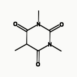 CC1C(=O)N(C)C(=O)N(C)C1=O